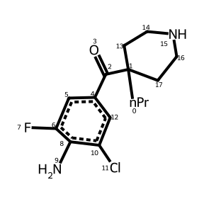 CCCC1(C(=O)c2cc(F)c(N)c(Cl)c2)CCNCC1